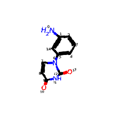 Nc1cccc(-n2ccc(=O)[nH]c2=O)c1